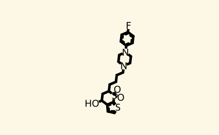 O=S1(=O)c2sccc2C(O)CC1CCCCN1CCN(c2ccc(F)cc2)CC1